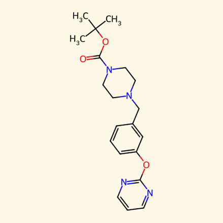 CC(C)(C)OC(=O)N1CCN(Cc2cccc(Oc3ncccn3)c2)CC1